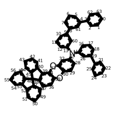 c1ccc(-c2cccc(-c3cccc(N(c4cccc(-c5ccccc5)c4)c4ccc5c(c4)Oc4c(ccc6c4-c4ccccc4C64c6ccccc6-c6ccccc64)O5)c3)c2)cc1